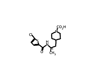 C[C@H](CC1CCN(C(=O)O)CC1)NC(=O)c1ccc(Cl)s1